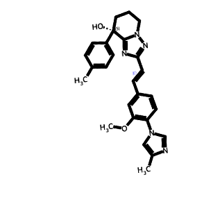 COc1cc(/C=C/c2nc3n(n2)CCC[C@]3(O)c2ccc(C)cc2)ccc1-n1cnc(C)c1